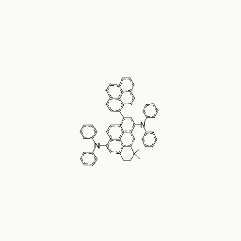 CC1(C)CCc2cc(N(c3ccccc3)c3ccccc3)c3ccc4c(-c5ccc6ccc7cccc8ccc5c6c78)cc(N(c5ccccc5)c5ccccc5)c5cc1c2c3c45